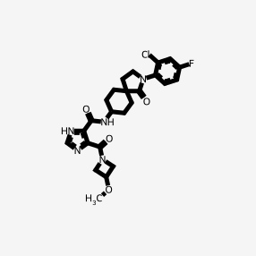 COC1CN(C(=O)c2nc[nH]c2C(=O)NC2CCC3(CC2)CCN(c2ccc(F)cc2Cl)C3=O)C1